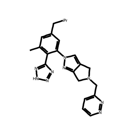 Cc1cc(CC(C)C)cc(-n2cc3c(n2)CN(Cc2cccnn2)C3)c1-c1nn[nH]n1